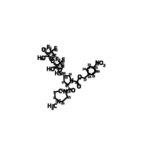 CN1CCCN(C(=O)[C@@H]2C[C@H](S)CN2C(=O)OCc2ccc([N+](=O)[O-])cc2)CC1.O=S(=O)(O)C(F)(F)F.O=S(=O)(O)C(F)(F)F